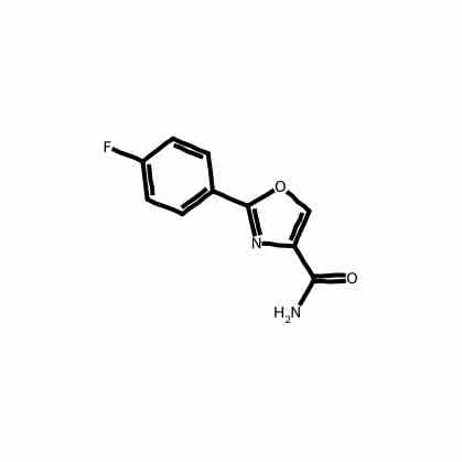 NC(=O)c1coc(-c2ccc(F)cc2)n1